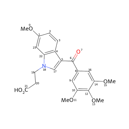 COc1ccc2c(C(=O)c3cc(OC)c(OC)c(OC)c3)cn(CCC(=O)O)c2c1